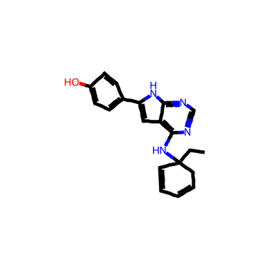 CCC1(Nc2ncnc3[nH]c(-c4ccc(O)cc4)cc23)C=CC=CC1